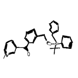 CC(C)(C)[Si](OCc1cccc(C(=O)c2cccnc2)c1)(c1ccccc1)c1ccccc1